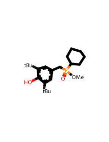 COP(=O)(Cc1cc(C(C)(C)C)c(O)c(C(C)(C)C)c1)C1CCCCC1